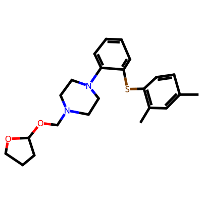 Cc1ccc(Sc2ccccc2N2CCN(COC3CCCO3)CC2)c(C)c1